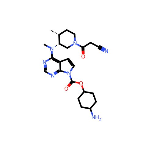 C[C@@H]1CCN(C(=O)CC#N)C[C@@H]1N(C)c1ncnc2c1ccn2C(=O)OC1CCC(N)CC1